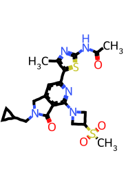 CC(=O)Nc1nc(C)c(-c2cc3c(c(N4CC(S(C)(=O)=O)C4)n2)C(=O)N(CC2CC2)C3)s1